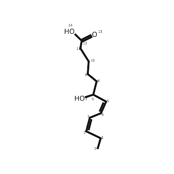 CC/C=C\C=C/C(O)CCCCC(=O)O